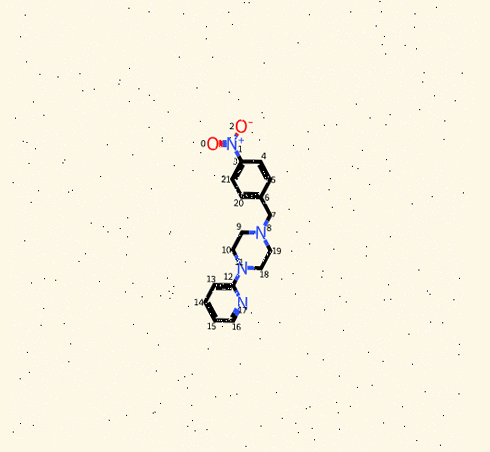 O=[N+]([O-])c1ccc(CN2CCN(c3ccccn3)CC2)cc1